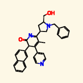 CC1=C(c2ccncc2)C(c2ccc3ccccc3c2)C(=O)N=C1C1CC(CO)N(Cc2ccccc2)C1